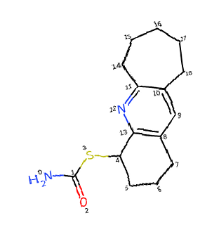 NC(=O)SC1CCCc2cc3c(nc21)CCCCC3